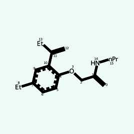 C=C(COc1ccc(CC)cc1C(=C)CC)NCCC